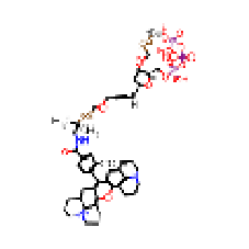 CC(C)(C)SSCO[C@@H]1C[C@H](BC#CCOCSSC(C)(C)CNC(=O)c2ccc(C3=c4cc5c6c(c4Oc4c3cc3c7c4CCCN7CCC3)CCC[N+]=6CCC5)c(C(=O)O)c2)O[C@@H]1COP(=O)(O)OP(=O)(O)OP(=O)(O)O